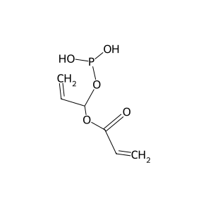 C=CC(=O)OC(C=C)OP(O)O